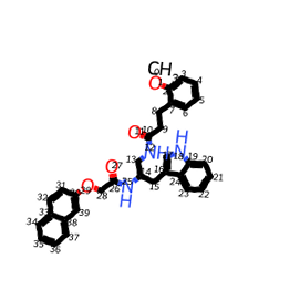 COc1ccccc1CCC(=O)NCC(Cc1c[nH]c2ccccc12)NC(=O)COc1ccc2ccccc2c1